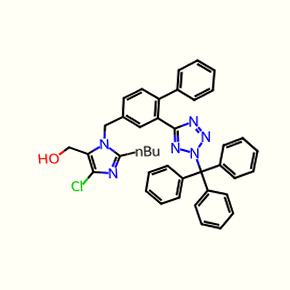 CCCCc1nc(Cl)c(CO)n1Cc1ccc(-c2ccccc2)c(-c2nnn(C(c3ccccc3)(c3ccccc3)c3ccccc3)n2)c1